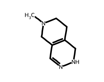 CN1CCC2=C(C=NNC2)C1